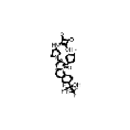 O=C(C[C@@H]1CCc2cc(C(O)(C(F)(F)F)C(F)(F)F)ccc2N1S(=O)(=O)c1ccc(F)cc1)N1CCC(Nc2c(O)c(=O)c2=O)C1